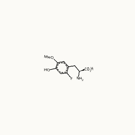 COc1cc(C[C@H](N)C(=O)O)c(F)cc1O